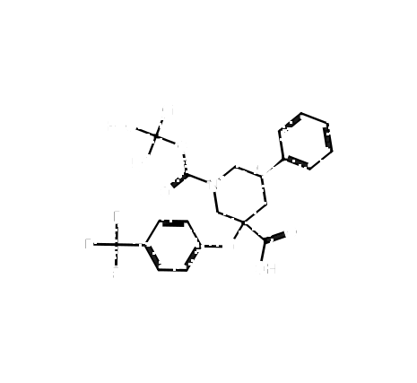 CC(C)(C)OC(=O)N1C[C@@H](c2ccccc2)CC(Oc2ccc(C(F)(F)F)cc2)(C(=O)O)C1